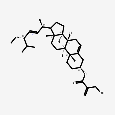 C=C(CO)C(=O)O[C@H]1CC[C@@]2(C)C(=CC[C@@H]3[C@@H]2CC[C@]2(C)C([C@H](C)/C=C/[C@@H](CC)C(C)C)CC[C@@H]32)C1